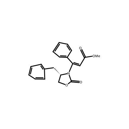 COC(=O)C=C(c1ccccc1)N1C(=O)OC[C@@H]1Cc1ccccc1